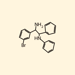 NC(c1cccc(Br)c1)C(Nc1ccccc1)c1ccccc1